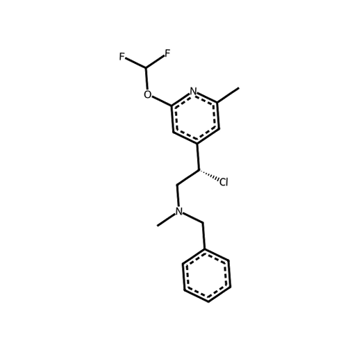 Cc1cc([C@H](Cl)CN(C)Cc2ccccc2)cc(OC(F)F)n1